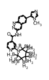 BC1(B)N(c2cc(C(=O)Nc3cc4cc(-c5cncn5C)ccc4nn3)ccn2)C(B)(B)C(B)(B)C(B)(B)C1(B)B